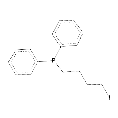 ICCCCP(c1ccccc1)c1ccccc1